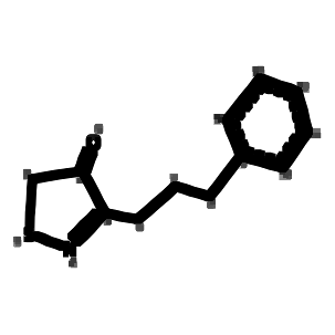 O=C1CSN=C1CCCc1ccccc1